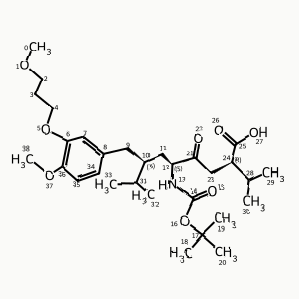 COCCCOc1cc(C[C@@H](C[C@H](NC(=O)OC(C)(C)C)C(=O)C[C@@H](C(=O)O)C(C)C)C(C)C)ccc1OC